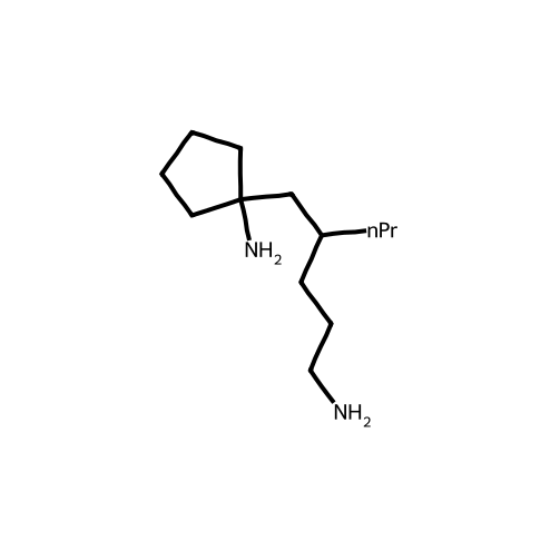 CCCC(CCCN)CC1(N)CCCC1